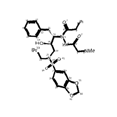 CNCC(=O)NN(C(=O)CC(C)C)[C@@H](Cc1ccccc1)[C@H](O)CN(CC(C)C)S(=O)(=O)c1ccc2c(c1)OCO2